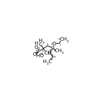 CCO[Si](C)(CC(C)(C)P(=O)(O)O)OCC